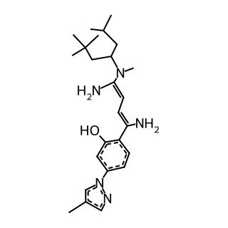 Cc1cnn(-c2ccc(/C(N)=C/C=C(\N)N(C)C(CC(C)C)CC(C)(C)C)c(O)c2)c1